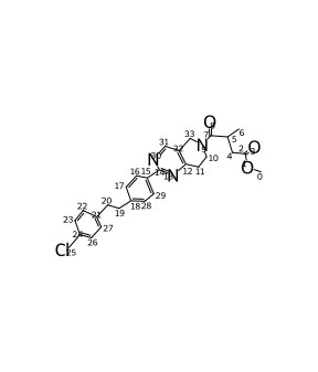 COC(=O)CC(C)C(=O)N1CCc2nc(-c3ccc(CCc4ccc(Cl)cc4)cc3)ncc2C1